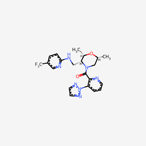 C[C@@H]1CN(C(=O)c2ncccc2-n2nccn2)[C@H](CNc2ccc(C(F)(F)F)cn2)[C@H](C)O1